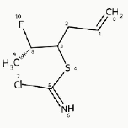 C=CCC(SC(=N)Cl)[C@H](C)F